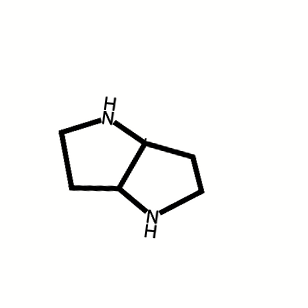 C1CC2NCC[C]2N1